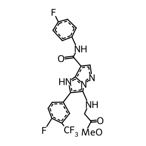 COC(=O)CNc1c(-c2ccc(F)c(C(F)(F)F)c2)[nH]c2c(C(=O)Nc3ccc(F)cc3)cnn12